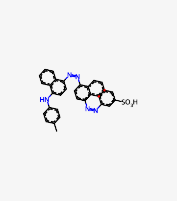 Cc1ccc(Nc2ccc(/N=N\c3ccc(/N=N\c4cccc(S(=O)(=O)O)c4)c4ccccc34)c3ccccc23)cc1